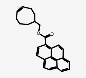 O=C(OCC1CC/C=C\CCC1)c1ccc2ccc3cccc4ccc1c2c34